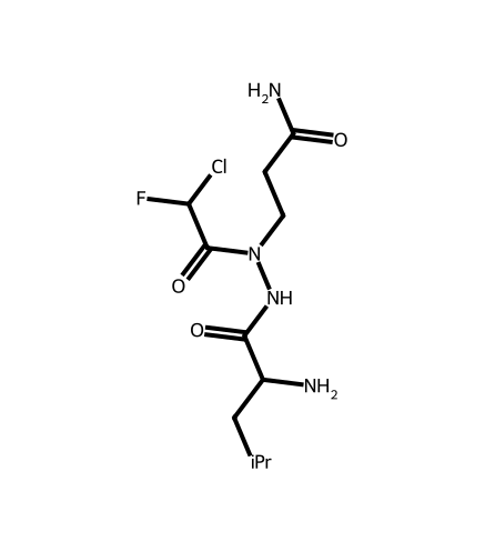 CC(C)CC(N)C(=O)NN(CCC(N)=O)C(=O)C(F)Cl